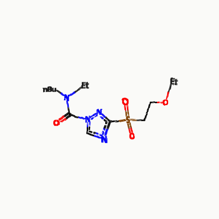 CCCCN(CC)C(=O)n1cnc(S(=O)(=O)CCOCC)n1